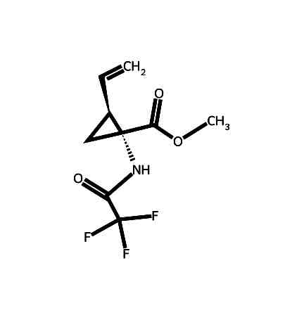 C=C[C@@H]1C[C@]1(NC(=O)C(F)(F)F)C(=O)OC